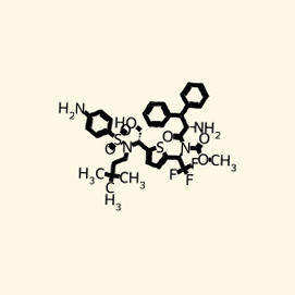 COC(=O)N(C(=O)[C@@H](N)C(c1ccccc1)c1ccccc1)[C@H](c1ccc([C@@H](CO)N(CCC(C)(C)C)S(=O)(=O)c2ccc(N)cc2)s1)C(F)(F)F